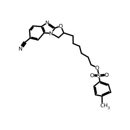 Cc1ccc(S(=O)(=O)OCCCCCCC2Cn3c(nc4ccc(C#N)cc43)O2)cc1